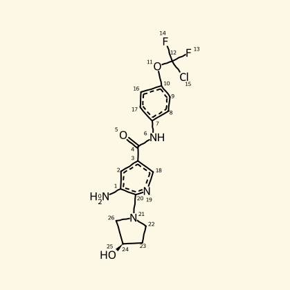 Nc1cc(C(=O)Nc2ccc(OC(F)(F)Cl)cc2)cnc1N1CC[C@@H](O)C1